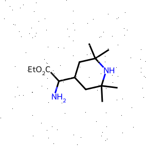 CCOC(=O)C(N)C1CC(C)(C)NC(C)(C)C1